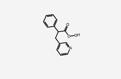 O=C(OO)C(Cc1cccnc1)c1ccccc1